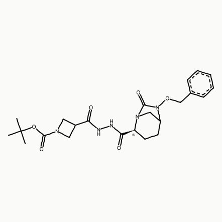 CC(C)(C)OC(=O)N1CC(C(=O)NNC(=O)[C@@H]2CCC3CN2C(=O)N3OCc2ccccc2)C1